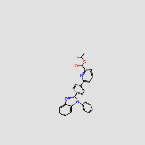 CC(C)OC(=O)c1cccc(-c2ccc(-c3nc4ccccc4n3-c3ccccc3)cc2)n1